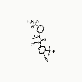 CC1(C)C(=O)N(c2ccc(C#N)c(C(F)(F)F)c2)C(=S)N1c1cccc(S(N)(=O)=O)c1